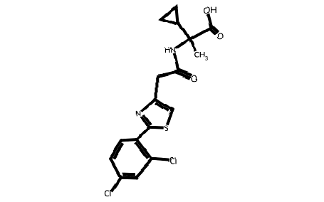 CC(NC(=O)Cc1csc(-c2ccc(Cl)cc2Cl)n1)(C(=O)O)C1CC1